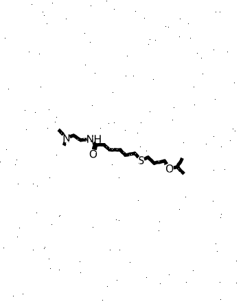 CC(C)OCCCSCCCCCC(=O)NCCN(C)C